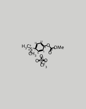 COC(=O)Oc1ccc([S+](C)C)cc1.O=S(=O)([O-])C(F)(F)F